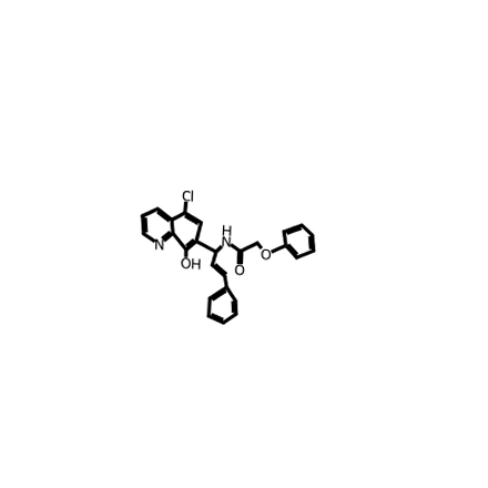 O=C(COc1ccccc1)NC(C=Cc1ccccc1)c1cc(Cl)c2cccnc2c1O